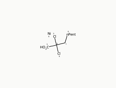 CCCCCCC(Cl)(Cl)C(=O)O.[Ni]